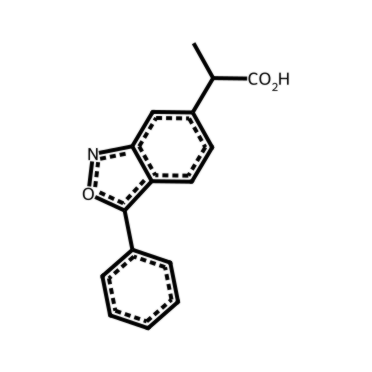 CC(C(=O)O)c1ccc2c(-c3ccccc3)onc2c1